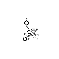 N#CC1(C(N)=O)CC1[C@]1(C(=O)O)C[C@H](S(=O)(=O)c2ccccc2Cl)C[C@H]1COc1ccc(Cl)cc1